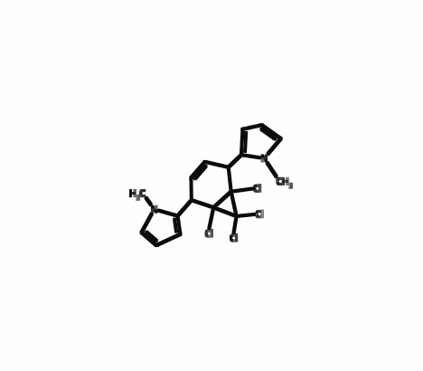 Cn1cccc1C1C=CC(c2cccn2C)C2(Cl)C(Cl)(Cl)C12Cl